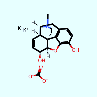 CN1CC[C@]23c4c5ccc(O)c4O[C@H]2[C@@H](O)C=C[C@H]3[C@H]1C5.O=C([O-])[O-].[K+].[K+]